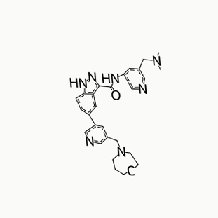 CN(C)Cc1cncc(NC(=O)c2n[nH]c3ccc(-c4cncc(CN5CCCCCC5)c4)cc23)c1